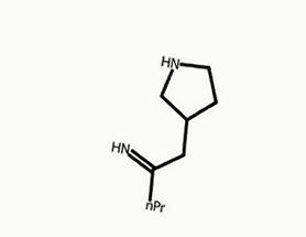 CCCC(=N)CC1CCNC1